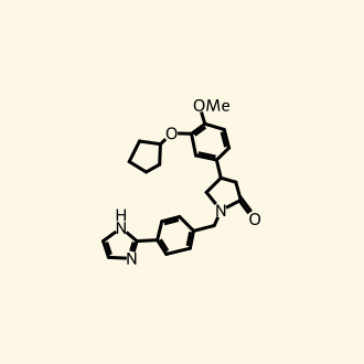 COc1ccc(C2CC(=O)N(Cc3ccc(-c4ncc[nH]4)cc3)C2)cc1OC1CCCC1